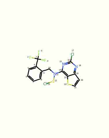 FC(F)(F)c1ccccc1CN(SCl)c1nc(Cl)nc2ccsc12